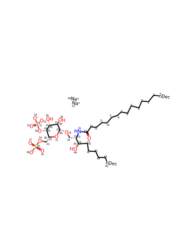 CCCCCCCCCCCCCCCCCCCCCCCC(=O)N[C@@H](CO[C@@H]1O[C@H](COS(=O)(=O)[O-])[C@H](OS(=O)(=O)[O-])[C@H](O)[C@H]1O)[C@H](O)CCCCCCCCCCCCCCC.[Na+].[Na+]